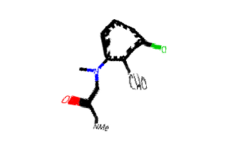 CNC(=O)CN(C)c1cccc(Cl)c1C=O